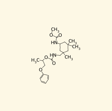 COC(=O)NC1CC(C)(C)CC(C)(CNC(=O)OC(C)COc2ccccc2)C1